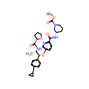 C[C@H](NC(=O)[C@H]1CCCO1)[C@H](Oc1ccc(C(=O)N[C@H]2CCCN(C(=O)OC(C)(C)C)C2)nc1)c1ccc(C2CC2)cc1